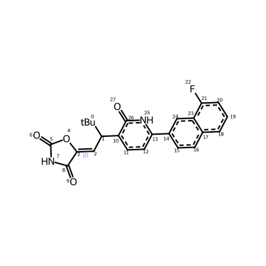 CC(C)(C)C(/C=C1\OC(=O)NC1=O)c1ccc(-c2ccc3cccc(F)c3c2)[nH]c1=O